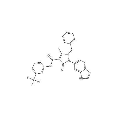 Cc1c(C(=O)Nc2cccc(C(C)(F)F)c2)c(=O)n(-c2ccc3cc[nH]c3c2)n1Cc1ccccc1